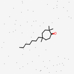 CCCCCCCC1(C)CCC(=O)C(C)(C)CC1